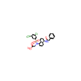 O=C(O)CN(c1cccc2c(NC(=O)Cc3ccccc3)cccc12)S(=O)(=O)c1cc(Cl)cc(Cl)c1